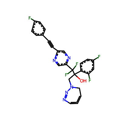 OC(CN1CC=C=CN=N1)(c1ccc(F)cc1F)C(F)(F)c1cnc(C#Cc2ccc(F)cc2)cn1